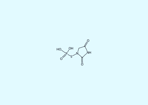 O=C1CN(SP(=O)(O)O)C(=O)N1